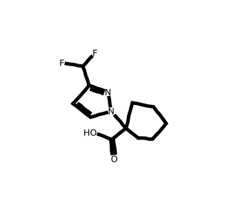 O=C(O)C1(n2ccc(C(F)F)n2)CCCCC1